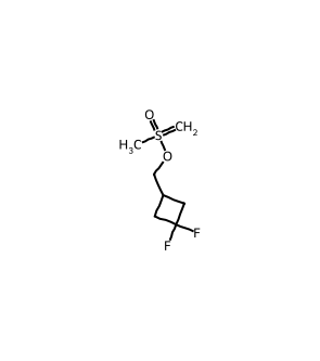 C=S(C)(=O)OCC1CC(F)(F)C1